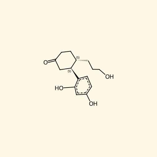 O=C1CC[C@H](CCCO)[C@@H](c2ccc(O)cc2O)C1